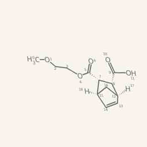 COCCOC(=O)[C@@H]1[C@H](C(=O)O)[C@H]2C=C[C@@H]1C2